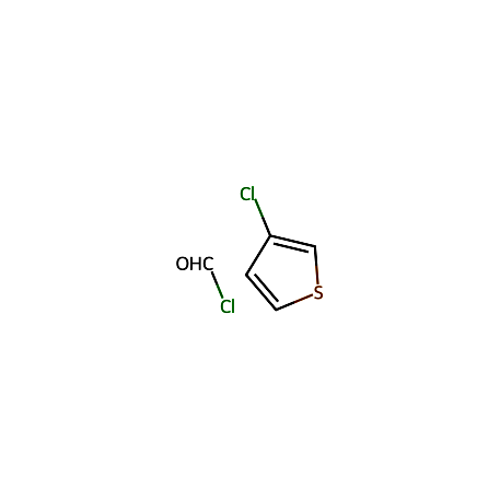 Clc1ccsc1.O=CCl